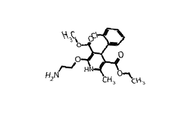 CCOC(=O)C1=C(C)NC(OCCN)=C(C(=O)OC)C1c1ccccc1Cl